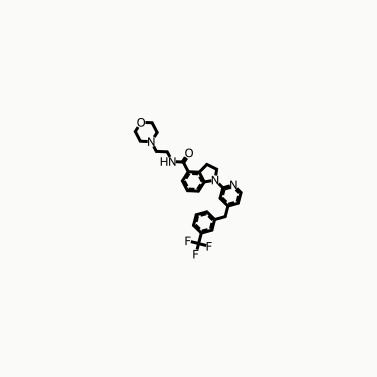 O=C(NCCN1CCOCC1)c1cccc2c1CCN2c1cc(Cc2cccc(C(F)(F)F)c2)ccn1